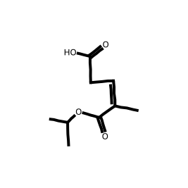 CC(=CCC(=O)O)C(=O)OC(C)C